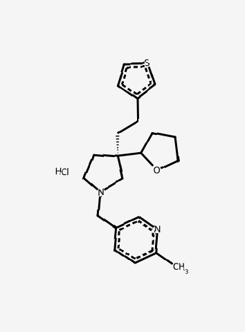 Cc1ccc(CN2CC[C@@](CCc3ccsc3)(C3CCCO3)C2)cn1.Cl